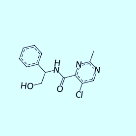 Cc1ncc(Cl)c(C(=O)NC(CO)c2ccccc2)n1